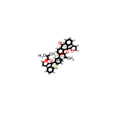 C=C(C)C(=O)OC1(C2CCCO2)c2ccccc2Sc2ccc(-c3ccc4c(c3)C(OC(=O)C(=C)C)(C3CCCO3)c3ccccc3C4=O)cc21